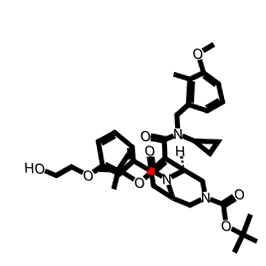 COc1cccc(CN(C(=O)C2=C(c3cccc(OCCO)c3)CC3CN(C(=O)OC(C)(C)C)C[C@H]2N3C(=O)OC(C)(C)C)C2CC2)c1C